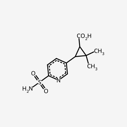 CC1(C)C(C(=O)O)C1c1ccc(S(N)(=O)=O)nc1